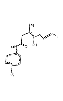 C=CCC(O)=C(C#N)CC(=O)Nc1ccc(C(F)(F)F)cc1